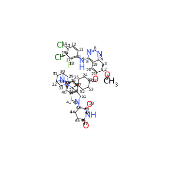 COc1cc2ncnc(Nc3ccc(Cl)c(Cl)c3F)c2cc1OC1CCC(CN2CC3CC(C2)N3c2ccc3c(c2)CN(C2CCC(=O)NC2=O)C3)CC1